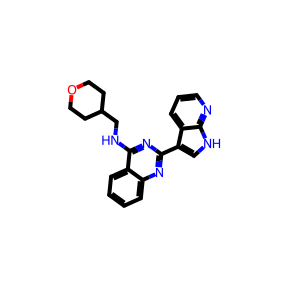 c1ccc2c(NCC3CCOCC3)nc(-c3c[nH]c4ncccc34)nc2c1